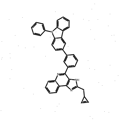 C1=CC1Cc1nc2c([nH]1)c(-c1cccc(-c3ccc4c(c3)c3ccccc3n4-c3ccccc3)c1)nc1ccccc12